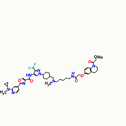 COCC(=O)N1CCCc2cc(OCC(=O)NCCCCCN(C)CC3CCC(n4cc(NC(=O)c5coc(-c6ccnc(N(C)C7CC7)c6)n5)c(C(F)F)n4)CC3)ccc21